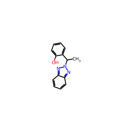 CC(c1ccccc1O)n1nc2ccccc2n1